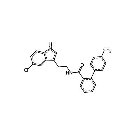 O=C(NCCc1c[nH]c2ccc(Cl)cc12)c1ccccc1-c1ccc(C(F)(F)F)cc1